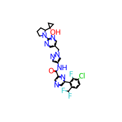 O=C(Nc1cnn(Cc2cnc(N3CCCC3C3(O)CC3)nc2)c1)c1cncc(-c2c(C(F)F)ccc(Cl)c2F)n1